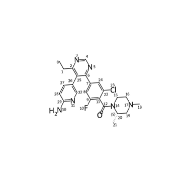 CCc1ncnc(-c2cc(F)c(C(=O)N3CCN(C)C[C@@H]3C)c(Cl)c2)c1-c1ccc(N)nc1